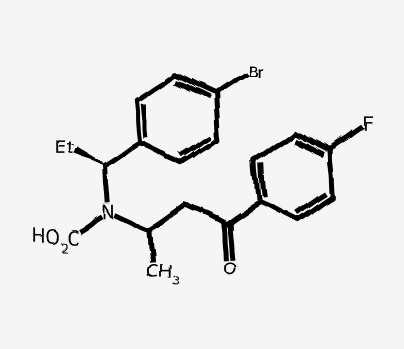 CC[C@@H](c1ccc(Br)cc1)N(C(=O)O)C(C)CC(=O)c1ccc(F)cc1